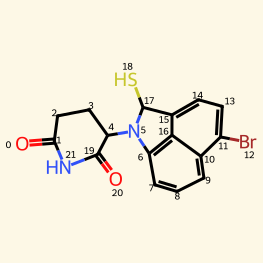 O=C1CCC(N2c3cccc4c(Br)ccc(c34)C2S)C(=O)N1